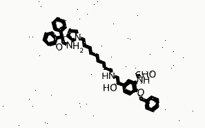 NC(=O)C(c1ccccc1)(c1ccccc1)[C@@H]1CCN(CCCCCCCCCNC[C@H](O)c2ccc(OCc3ccccc3)c(NC=O)c2)C1